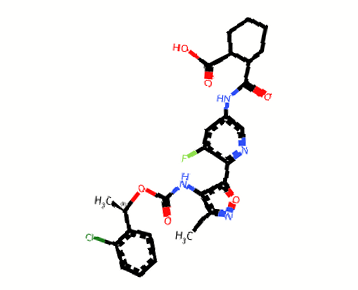 Cc1noc(-c2ncc(NC(=O)C3CCCCC3C(=O)O)cc2F)c1NC(=O)O[C@H](C)c1ccccc1Cl